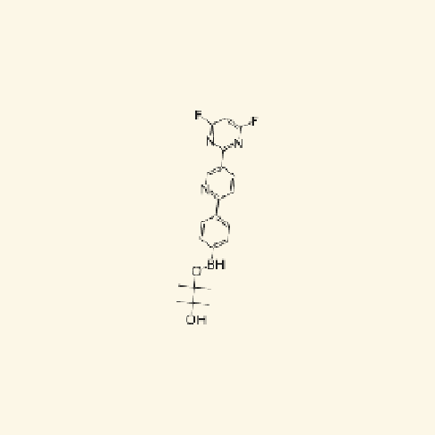 CC(C)(O)C(C)(C)OBc1ccc(-c2ccc(-c3nc(F)cc(F)n3)cn2)cc1